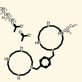 CC(=O)[O-].CC(=O)[O-].O.O.O.O.O.O.O.[Cu+2].c1cc(CN2CCCNCCNCCCNCC2)ccc1CN1CCCNCCNCCCNCC1